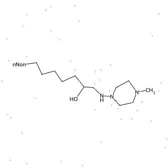 CCCCCCCCCCCCCCC(O)CNN1CCN(C)CC1